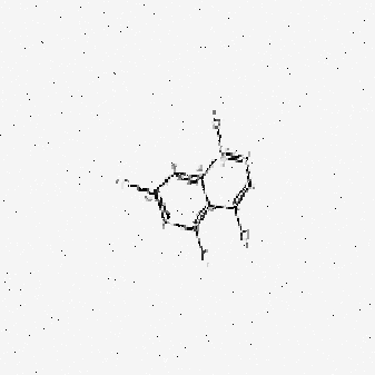 [O-][n+]1ccc(Cl)c2c(F)cc(F)cc21